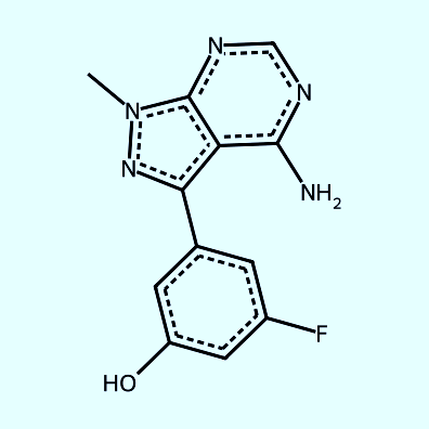 Cn1nc(-c2cc(O)cc(F)c2)c2c(N)ncnc21